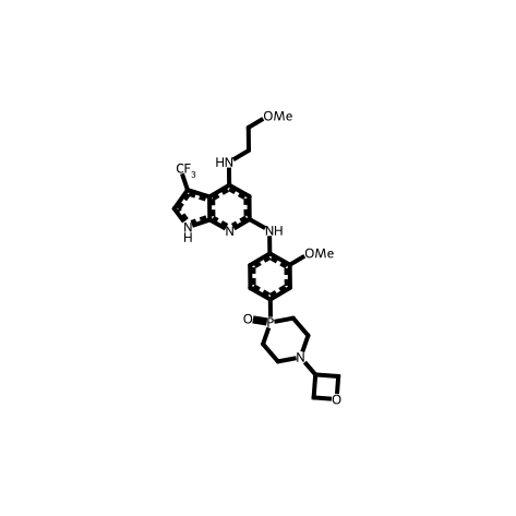 COCCNc1cc(Nc2ccc(P3(=O)CCN(C4COC4)CC3)cc2OC)nc2[nH]cc(C(F)(F)F)c12